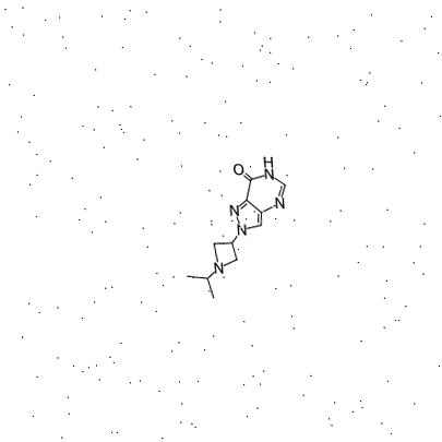 CC(C)N1CC(n2cc3nc[nH]c(=O)c3n2)C1